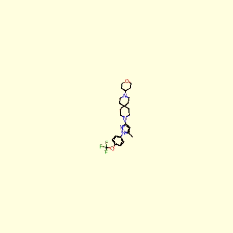 Cc1cc(N2CCC3(CC2)CCN(C2CCOCC2)CC3)nn1-c1ccc(OC(F)(F)F)cc1